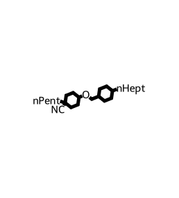 CCCCCCCC1CCC(COC2CCC(C#N)(CCCCC)CC2)CC1